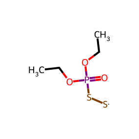 CCOP(=O)(OCC)S[S]